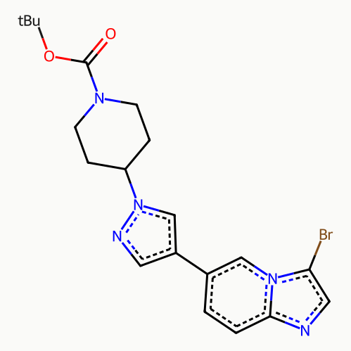 CC(C)(C)OC(=O)N1CCC(n2cc(-c3ccc4ncc(Br)n4c3)cn2)CC1